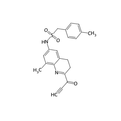 C#CC(=O)C1=Nc2c(C)cc(NS(=O)(=O)Cc3ccc(C)cc3)cc2CC1